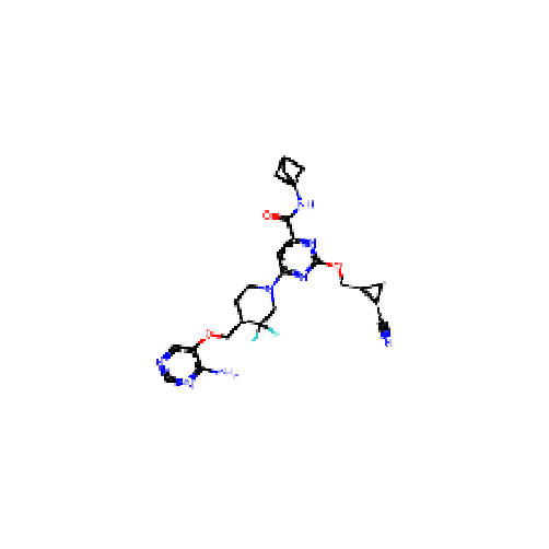 N#C[C@@H]1C[C@@H]1COc1nc(C(=O)NC23CC(C2)C3)cc(N2CCC(COc3cncnc3N)C(F)(F)C2)n1